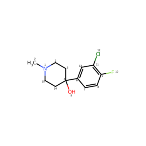 CN1CCC(O)(c2ccc(F)c(Cl)c2)CC1